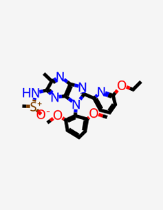 CCOc1cccc(-c2nc3nc(C)c(N[S+](C)[O-])nc3n2-c2c(OC)cccc2OC)n1